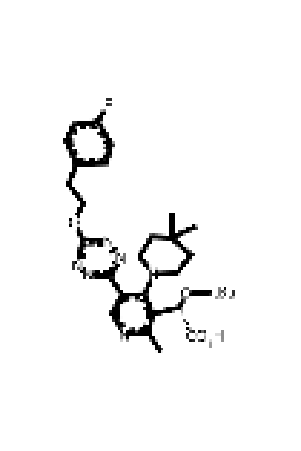 Cc1ncc(-c2nnc(OCCc3ccc(F)cc3)nn2)c(N2CCC(C)(C)CC2)c1[C@H](OC(C)(C)C)C(=O)O